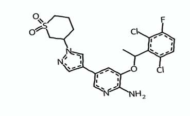 CC(Oc1cc(-c2cnn(C3CCCS(=O)(=O)C3)c2)cnc1N)c1c(Cl)ccc(F)c1Cl